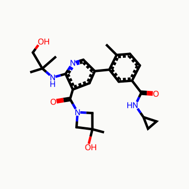 Cc1ccc(C(=O)NC2CC2)cc1-c1cnc(NC(C)(C)CO)c(C(=O)N2CC(C)(O)C2)c1